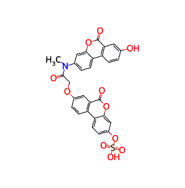 CN(C(=O)COc1ccc2c(c1)c(=O)oc1cc(OS(=O)(=O)O)ccc12)c1ccc2c(c1)oc(=O)c1cc(O)ccc12